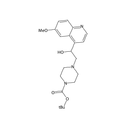 COc1ccc2nccc(C(O)CN3CCN(C(=O)OC(C)(C)C)CC3)c2c1